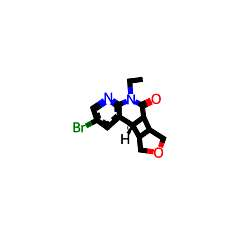 CCN1C(=O)C2C3COCC3[C@@H]2c2cc(Br)cnc21